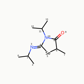 CC(C)N=C1[Se]C(C)C(=O)N1C(C)C